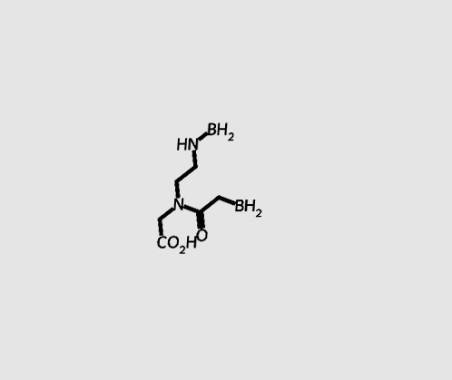 BCC(=O)N(CCNB)CC(=O)O